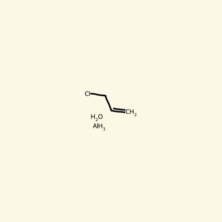 C=CCCl.O.[AlH3]